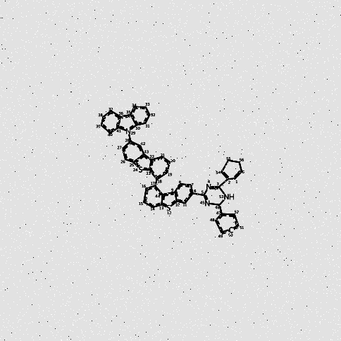 C1=CC(C2=NC(c3ccc4c(c3)sc3cccc(-c5cccc6c5sc5ccc(-n7c8ccccc8c8ccccc87)cc56)c34)=NC(c3ccccc3)N2)=CCC1